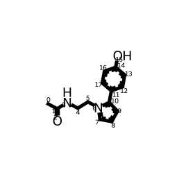 CC(=O)NCCn1cccc1-c1ccc(O)cc1